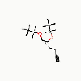 C#CCC[C@H](CO[Si](C)(C)C(C)(C)C)O[Si](C)(C)C(C)(C)C